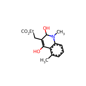 CCOC(=O)CC1=C(O)c2c(C)cccc2N(C)C1O